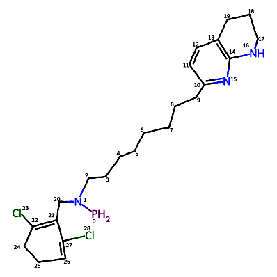 PN(CCCCCCCCc1ccc2c(n1)NCCC2)CC1=C(Cl)CCC=C1Cl